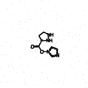 O=C(On1ccnc1)P1CCNN1